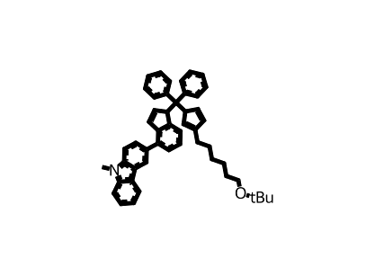 Cn1c2ccccc2c2cc(-c3cccc4c3C=CC4C(c3ccccc3)(c3ccccc3)C3C=CC(CCCCCCOC(C)(C)C)=C3)ccc21